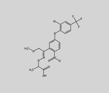 COCC(=NOC(C)C(=O)O)c1cc(Oc2ccc(C(F)(F)F)cc2Cl)ccc1[N+](=O)[O-]